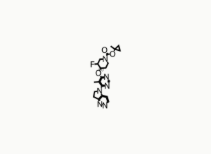 Cc1c(O[C@@H]2CCN(C(=O)OC3(C)CC3)CC2F)ncnc1N1CCc2nnccc21